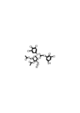 CC(=O)OC[C@H]1O[C@H](Sc2cc(Cl)c(Cl)c(Cl)c2)[C@H](OC(C)=O)[C@@H](N=[N+]=[N-])[C@H]1OC(C)=O.Sc1cc(Cl)c(Cl)c(Cl)c1